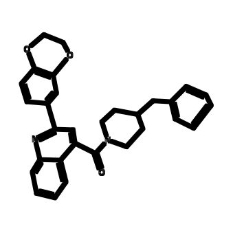 O=C(c1cc(-c2ccc3c(c2)OCCO3)nc2ccccc12)N1CCC(Cc2ccccc2)CC1